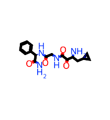 NC(=O)[C@@H](NC(=O)CNC(=O)C(=O)C(N)CC1CC1)c1ccccc1